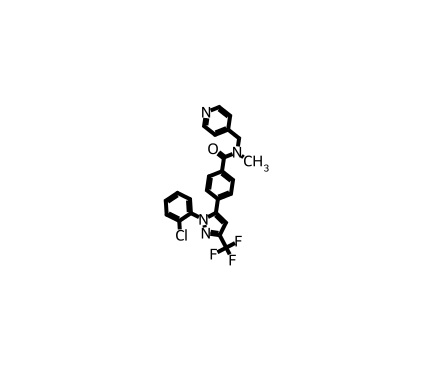 CN(Cc1ccncc1)C(=O)c1ccc(-c2cc(C(F)(F)F)nn2-c2ccccc2Cl)cc1